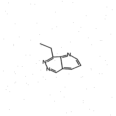 CCc1nncc2cccnc12